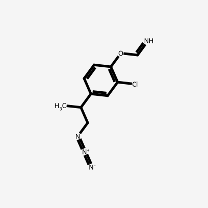 CC(CN=[N+]=[N-])c1ccc(OC=N)c(Cl)c1